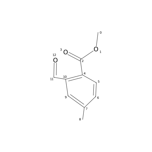 COC(=O)c1ccc(C)cc1C=O